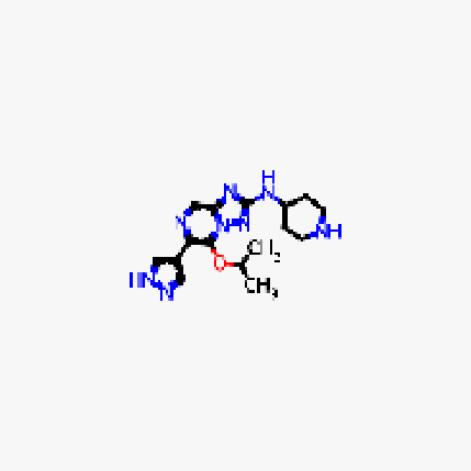 CC(C)Oc1c(-c2cn[nH]c2)ncc2nc(NC3CCNCC3)nn12